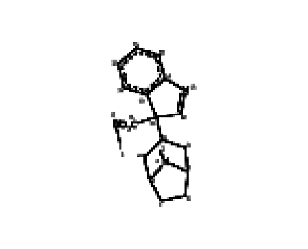 CCI.CN1C2CCC1CC(C1(C(=O)O)C=Nc3ccccc31)C2